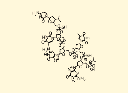 Cc1cn([C@H]2C[C@@H](OP(=O)(S)OC[C@H]3O[C@@H](n4cnc5c(=O)[nH]c(N)nc54)C[C@H]3OP(=O)(S)OC[C@H]3O[C@@H](n4cc(C)c(=O)[nH]c4=O)C[C@H]3OP(=S)(S)OC[C@H]3O[C@@H](n4ccc(N)nc4=O)C[C@H]3C(C)C)[C@@H](COP(=O)(S)O[C@@H]3C[C@H](n4cnc5c(=O)[nH]c(N)nc54)O[C@@H]3COP(=O)(S)OC(C)C)O2)c(=O)[nH]c1=O